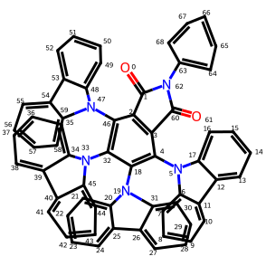 O=C1c2c(c(-n3c4ccccc4c4ccccc43)c(-n3c4ccccc4c4ccccc43)c(-n3c4ccccc4c4ccccc43)c2-n2c3ccccc3c3ccccc32)C(=O)N1c1ccccc1